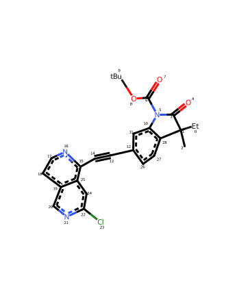 CCC1(C)C(=O)N(C(=O)OC(C)(C)C)c2cc(C#Cc3nccc4cnc(Cl)cc34)ccc21